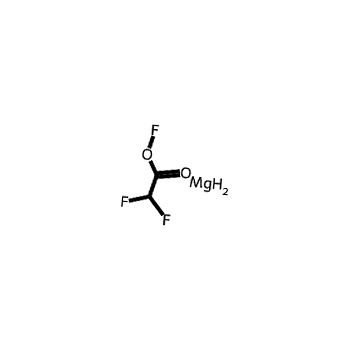 O=C(OF)C(F)F.[MgH2]